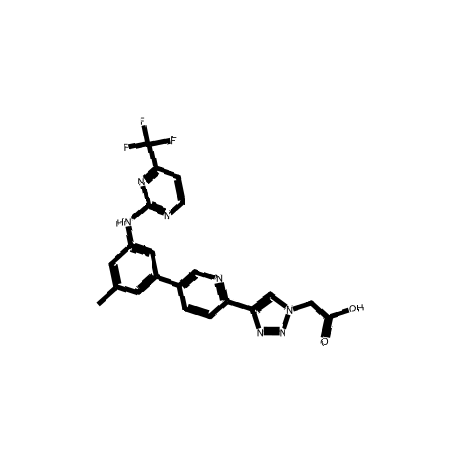 Cc1cc(Nc2nccc(C(F)(F)F)n2)cc(-c2ccc(-c3cn(CC(=O)O)nn3)nc2)c1